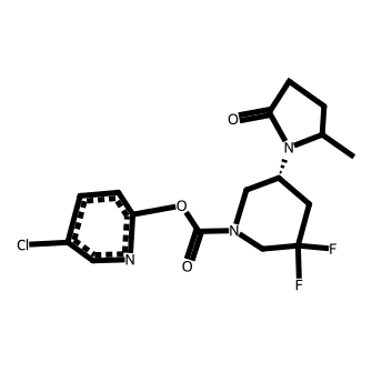 CC1CCC(=O)N1[C@H]1CN(C(=O)Oc2ccc(Cl)cn2)CC(F)(F)C1